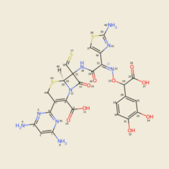 Nc1cc(N)nc(C2=C(C(=O)O)N3C(=O)C(C=S)(NC(=O)/C(=N\OC(C(=O)O)c4ccc(O)c(O)c4)c4csc(N)n4)[C@@H]3SC2)n1